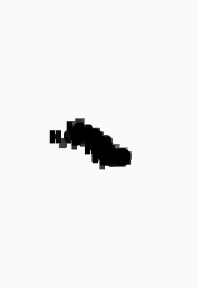 C[n+]1c(F)c(F)c(Oc2ccc(C(=O)Nc3c(F)c(F)c(Oc4ccccc4)c(F)c3F)cc2)c(F)c1F